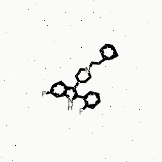 Fc1ccc2c(C3CCN(CCc4ccccc4)CC3)c(-c3ccccc3F)[nH]c2c1